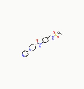 CS(=O)(=O)NCc1ccc(NC(=O)C2CCN(c3ccncc3)CC2)cc1